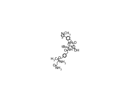 Cc1ncsc1-c1ccc(CNC(=O)[C@@H]2C[C@@H](O)CN2C(=O)[C@@H](NC(=O)Cc2ccc(CO[C@H](C)[C@@H](N)CCC(N)=O)cc2)C(C)(C)C)cc1